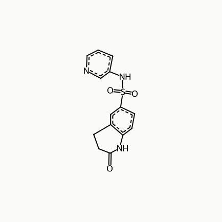 O=C1CCc2cc(S(=O)(=O)Nc3cccnc3)ccc2N1